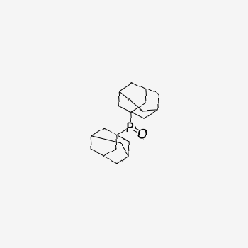 O=[P](C12CC3CC(CC(C3)C1)C2)C12CC3CC(CC(C3)C1)C2